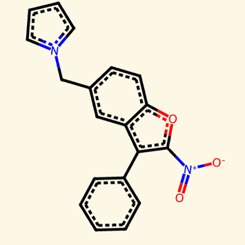 O=[N+]([O-])c1oc2ccc(Cn3cccc3)cc2c1-c1ccccc1